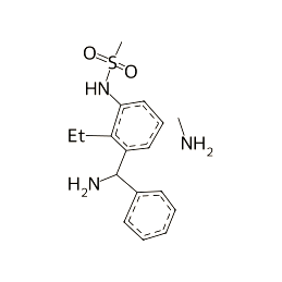 CCc1c(NS(C)(=O)=O)cccc1C(N)c1ccccc1.CN